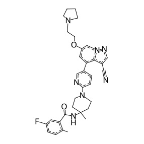 Cc1ccc(F)cc1C(=O)NC1(C)CCN(c2ccc(-c3cc(OCCN4CCCC4)cn4ncc(C#N)c34)cn2)CC1